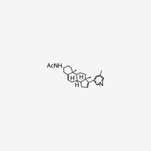 CC(=O)N[C@@H]1CC[C@@]2(C)C(=CC[C@@H]3[C@@H]2CC[C@]2(C)C(c4cncc(C)c4)=CC[C@@H]32)C1